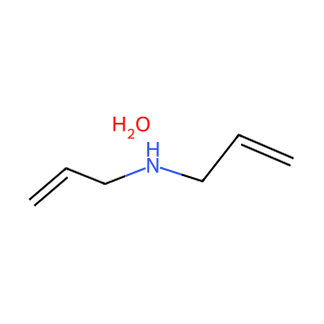 C=CCNCC=C.O